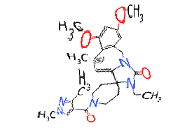 CCN1C(=O)N2Cc3cc(OC)cc(OC)c3[C@@H](C)C=C2C12CCN(C(=O)c1cn(C)nc1C)CC2